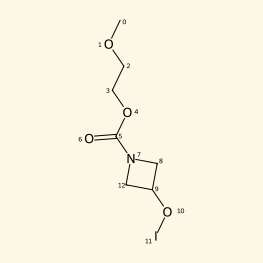 COCCOC(=O)N1CC(OI)C1